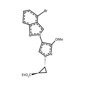 CCOC(=O)[C@@H]1C[C@H]1n1cc(-n2cc3c(Br)cccc3n2)c(OC)n1